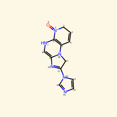 O=[N+]1CC=CC2=C1NC=C1N=C(n3ccnc3)CN12